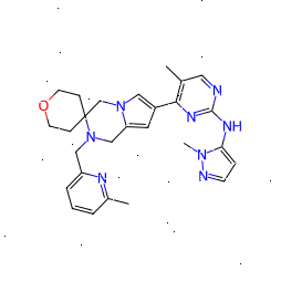 Cc1cccc(CN2Cc3cc(-c4nc(Nc5ccnn5C)ncc4C)cn3CC23CCOCC3)n1